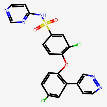 O=S(=O)(Nc1ccncn1)c1ccc(Oc2ccc(Cl)cc2-c2ccnnc2)c(Cl)c1